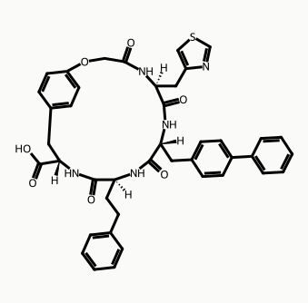 O=C1COc2ccc(cc2)C[C@@H](C(=O)O)NC(=O)[C@H](CCc2ccccc2)NC(=O)[C@@H](Cc2ccc(-c3ccccc3)cc2)NC(=O)[C@H](Cc2cscn2)N1